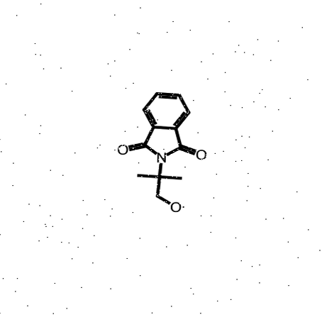 CC(C)(C[O])N1C(=O)c2ccccc2C1=O